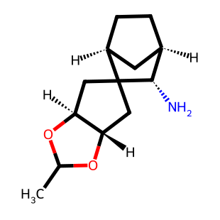 CC1O[C@H]2CC3(C[C@@H]2O1)[C@H]1CC[C@H](C1)[C@@H]3N